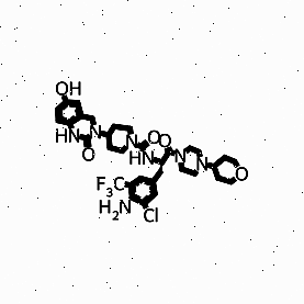 Nc1c(Cl)cc(C[C@@H](NC(=O)N2CCC(N3Cc4cc(O)ccc4NC3=O)CC2)C(=O)N2CCN(C3CCOCC3)CC2)cc1C(F)(F)F